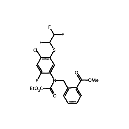 CCOC(=O)C(=O)N(Cc1ccccc1C(=O)OC)c1cc(SC(F)C(F)F)c(Cl)cc1F